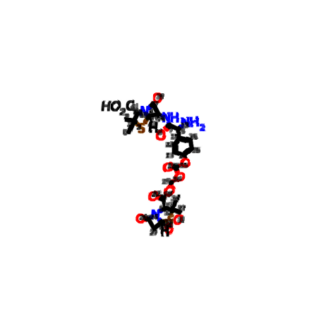 CC1(C)S[C@@H]2[C@H](NC(=O)C(N)c3ccc(OC(=O)OCOC(=O)[C@@H]4N5C(=O)C[C@H]5S(=O)(=O)C4(C)C)cc3)C(=O)N2[C@H]1C(=O)O